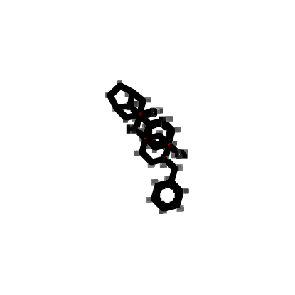 N#Cc1cnc(N2CC3CCC(C2)N3C(=O)NC2CCN(Cc3ccccc3)CC2)nc1